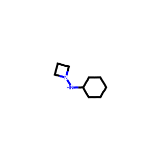 C1CCC(NN2CCC2)CC1